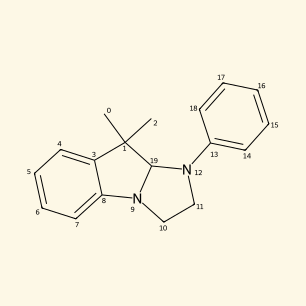 CC1(C)c2ccccc2N2CCN(c3ccccc3)C21